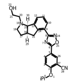 CC(C)Oc1ccc(-c2nc(-c3cccc4c3C[C@H]3CCN(CCO)[C@@H]43)no2)cc1C#N